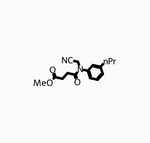 CCCc1cccc(N(CC#N)C(=O)CCC(=O)OC)c1